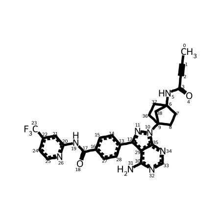 CC#CC(=O)NC12CCC(n3nc(-c4ccc(C(=O)Nc5cc(C(F)(F)F)ccn5)cc4)c4c(N)ncnc43)(CC1)C2